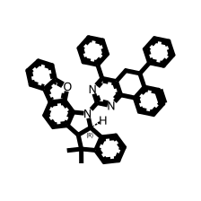 CC1(C)c2ccccc2[C@H]2C1c1ccc3c(oc4ccccc43)c1N2c1nc(-c2ccccc2)c2c(n1)-c1ccc#cc1C(c1ccccc1)C2